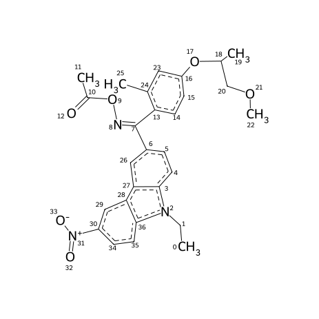 CCn1c2ccc(C(=NOC(C)=O)c3ccc(OC(C)COC)cc3C)cc2c2cc([N+](=O)[O-])ccc21